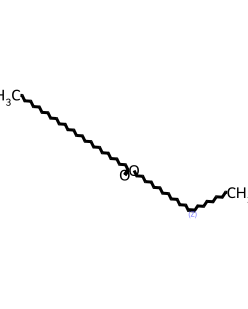 CCCCCCCC/C=C\CCCCCCCCCCCCOC(=O)CCCCCCCCCCCCCCCCCCCCCCCCCC